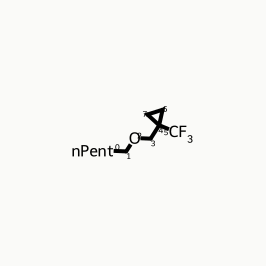 CCCCCCOCC1(C(F)(F)F)CC1